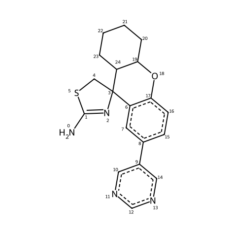 NC1=NC2(CS1)c1cc(-c3cncnc3)ccc1OC1CCCCC12